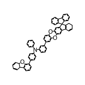 C1=CC2Oc3c(-c4ccc(N(c5ccccc5)c5cccc(-c6ccc7c(c6)Oc6cc8c(cc6O7)C6(C7=C8C=CCC7)c7ccccc7-c7ccccc76)c5)cc4)cccc3C2C=C1